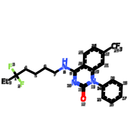 CCC(F)(F)CCCCNc1nc(=O)n(-c2ccccc2)c2cc(C(F)(F)F)ccc12